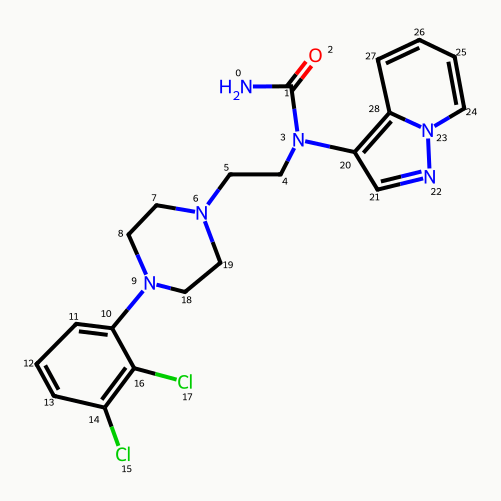 NC(=O)N(CCN1CCN(c2cccc(Cl)c2Cl)CC1)c1cnn2ccccc12